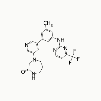 Cc1cc(Nc2nccc(C(F)(F)F)n2)cc(-c2cncc(N3CCCNC(=O)C3)c2)c1